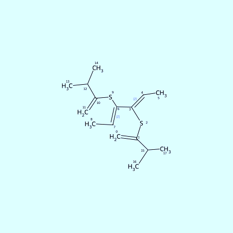 C=C(SC(=C\C)/C(=C/C)SC(=C)C(C)C)C(C)C